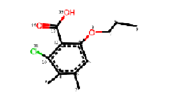 CCCOc1cc(C)c(C)c(Cl)c1C(=O)O